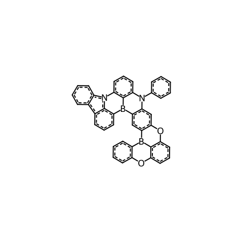 c1ccc(N2c3cc4c(cc3B3c5c2cccc5-n2c5ccccc5c5cccc3c52)B2c3ccccc3Oc3cccc(c32)O4)cc1